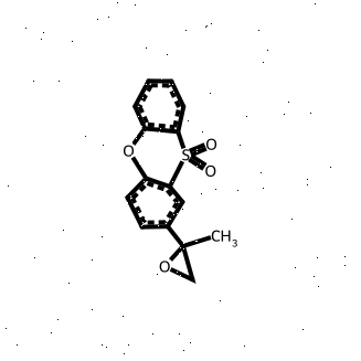 CC1(c2ccc3c(c2)S(=O)(=O)c2ccccc2O3)CO1